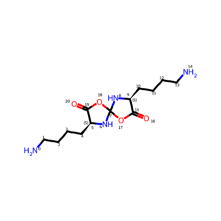 NCCCC[C@@H]1NC2(N[C@@H](CCCCN)C(=O)O2)OC1=O